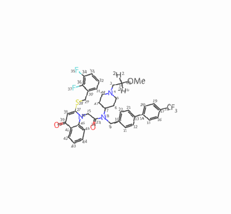 [2H]C([2H])(CN1CCC(N(Cc2ccc(-c3ccc(C(F)(F)F)cc3)cc2)C(=O)Cn2c(SCc3cccc(F)c3F)cc(=O)c3ccccc32)CC1)OC